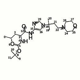 CCCC(NC(=O)OC(C)(C)C)C(=O)Nc1cn(C(C)(C)CCN2CCOCC2)cn1